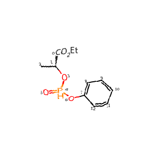 CCOC(=O)[C@H](C)O[PH](=O)Oc1ccccc1